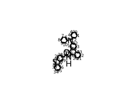 c1ccc(N(c2ccccc2)c2ccc3c(c2)c2c(c4ccccc43)NC(c3ccc4sc5ccccc5c4c3)O2)cc1